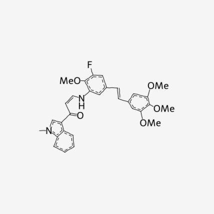 COc1cc(C=Cc2cc(F)c(OC)c(N/C=C\C(=O)c3cn(C)c4ccccc34)c2)cc(OC)c1OC